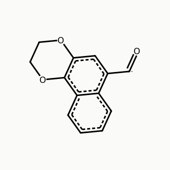 O=[C]c1cc2c(c3ccccc13)OCCO2